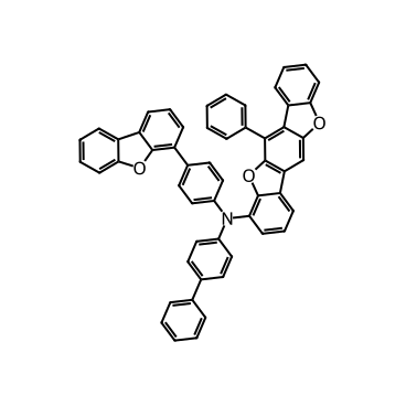 c1ccc(-c2ccc(N(c3ccc(-c4cccc5c4oc4ccccc45)cc3)c3cccc4c3oc3c(-c5ccccc5)c5c(cc34)oc3ccccc35)cc2)cc1